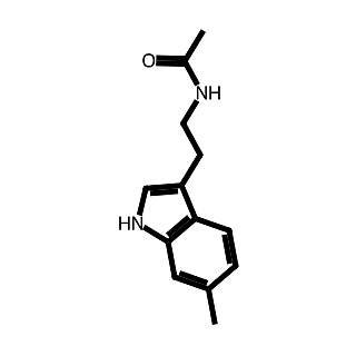 CC(=O)NCCc1c[nH]c2cc(C)ccc12